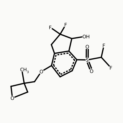 CC1(COc2ccc(S(=O)(=O)C(F)F)c3c2CC(F)(F)C3O)COC1